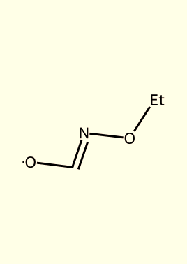 CCON=C[O]